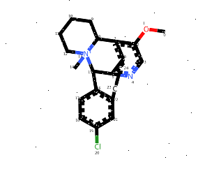 COc1cnc2c3c1C1CCCC[N+]1(C)C2c1ccc(Cl)cc1CC3